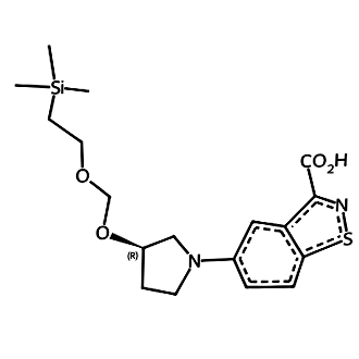 C[Si](C)(C)CCOCO[C@@H]1CCN(c2ccc3snc(C(=O)O)c3c2)C1